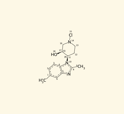 Cc1ccc2c(c1)nc(C)n2[C@@H]1CCN(Cl)C[C@@H]1O